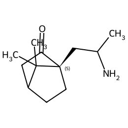 CC(N)C[C@]12CCC(CC1=O)C2(C)C